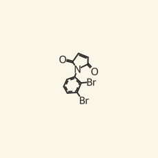 O=C1C=CC(=O)N1c1cccc(Br)c1Br